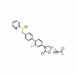 CC(=O)NC[C@H]1CN(c2ccc(-c3ccc(C[S+]([O-])c4ccccn4)cc3)c(F)c2)C(=O)O1